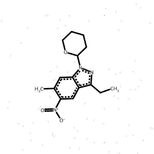 CCc1nn(C2CCCCO2)c2cc(C)c([N+](=O)[O-])cc12